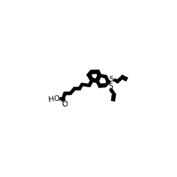 C=CCSC1(SCC=C)C=Cc2c(CCCCCCC(=O)O)cccc2C1